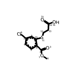 COC(=O)c1ccc(Cl)cc1SCCC(=O)O